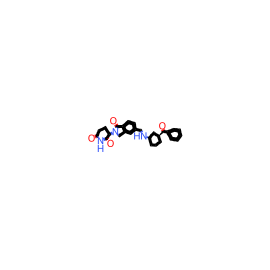 O=C1CCC(N2Cc3cc(CN[C@@H]4CCC[C@H](C(=O)c5ccccc5)C4)ccc3C2=O)C(=O)N1